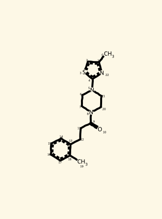 Cc1csc(N2CCN(C(=O)CCc3ccccc3C)CC2)n1